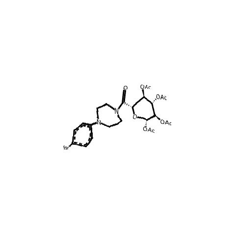 CC(=O)O[C@@H]1O[C@H](C(=O)N2CCN(c3ccc(Br)cc3)CC2)[C@@H](OC(C)=O)[C@H](OC(C)=O)[C@H]1OC(C)=O